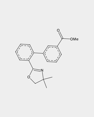 COC(=O)c1cccc(-c2ccccc2C2=NC(C)(C)CO2)c1